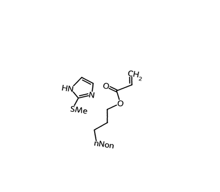 C=CC(=O)OCCCCCCCCCCCC.CSc1ncc[nH]1